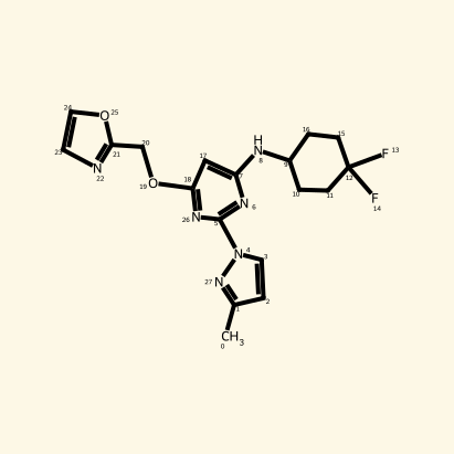 Cc1ccn(-c2nc(NC3CCC(F)(F)CC3)cc(OCc3ncco3)n2)n1